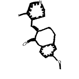 COc1ccc2c(c1)CCC(=Cc1ccncc1I)C2=O